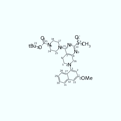 COc1cc(N2CCc3c(nc([S+](C)[O-])nc3N3CCN(C(=O)OC(C)(C)C)CC3)C2)c2ccccc2c1